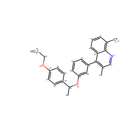 Cc1cnc2c(C(F)(F)F)cccc2c1-c1cccc(OC(C)c2ccc(OCC(=O)O)cc2)c1